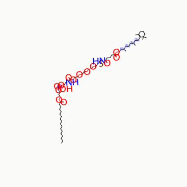 CCCCCCCCCCCCCCCCCC(=O)OCCCOP(=O)(O)OCCNC(=O)OCCOCCOCCOCCSNC(=O)CCCC(=O)OC/C=C(C)/C=C/C=C(C)/C=C/C1=C(C)CCCC1(C)C